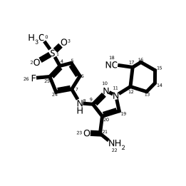 CS(=O)(=O)c1ccc(Nc2nn(C3CCCCC3C#N)cc2C(N)=O)cc1F